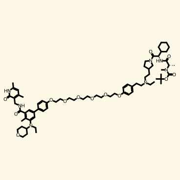 CCN(CCc1ccc(OCCOCCOCCOCCOCCOc2ccc(-c3cc(C(=O)NCc4c(C)cc(C)[nH]c4=O)c(C)c(N(CC)C4CCOCC4)c3)cc2)cc1)CCC1CCN(C(=O)[C@@H](NC(=O)[C@H](C)N(C)C(=O)OC(C)(C)C)C2CCCCC2)C1